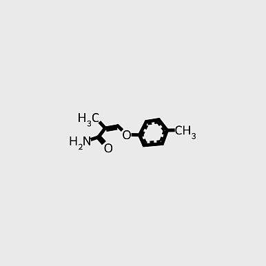 CC(=COc1ccc(C)cc1)C(N)=O